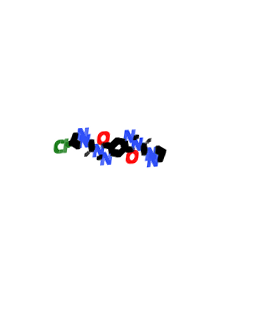 C[C@H](Cn1cccn1)n1cnc2cc3c(=O)n([C@H](C)Cn4cc(Cl)cn4)cnc3cc2c1=O